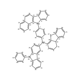 C1=CC(N(c2ccc(-n3c4ccccc4c4ccc5ccccc5c43)cc2)c2ccc3c(c2)c2ccccc2n3-c2ccccc2)=C2Sc3ccccc3C2C1